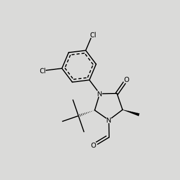 C[C@@H]1C(=O)N(c2cc(Cl)cc(Cl)c2)[C@@H](C(C)(C)C)N1C=O